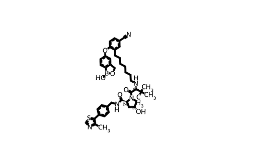 Cc1ncsc1-c1ccc(CNC(=O)[C@@H]2C[C@@H](O)CN2C(=O)[C@@H](NCCCCCCCc2cc(C#N)ccc2Oc2ccc3c(c2)COB3O)C(C)(C)C)cc1